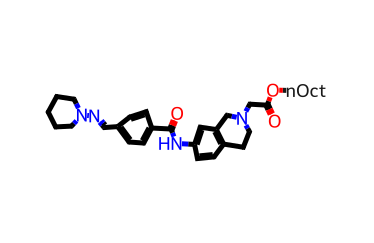 CCCCCCCCOC(=O)CN1CCc2ccc(NC(=O)c3ccc(/C=N/N4CCCCC4)cc3)cc2C1